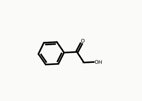 O=C([C]O)c1ccccc1